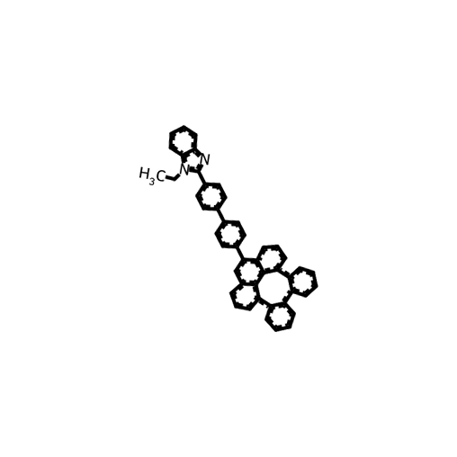 CCn1c(-c2ccc(-c3ccc(-c4cc5cccc6c7ccccc7c7ccccc7c7cccc4c7c56)cc3)cc2)nc2ccccc21